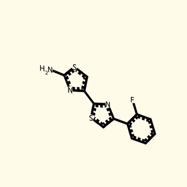 Nc1nc(-c2nc(-c3ccccc3F)cs2)cs1